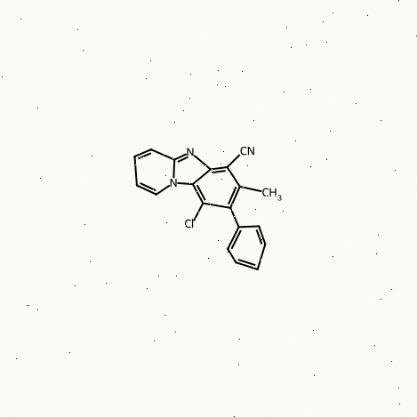 Cc1c(-c2ccccc2)c(Cl)c2c(nc3ccccn32)c1C#N